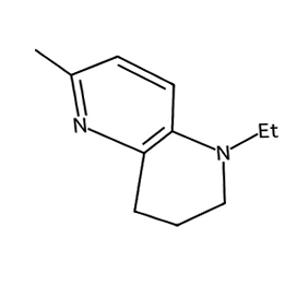 CCN1CCCc2nc(C)ccc21